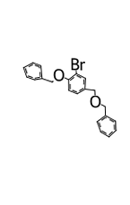 Brc1cc(COCc2ccccc2)ccc1OCc1ccccc1